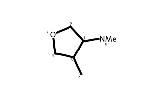 CNC1COCC1C